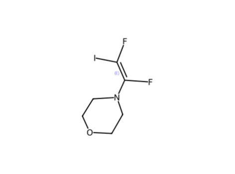 F/C(I)=C(\F)N1CCOCC1